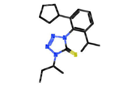 CCC(C)n1nnn(-c2c(C(C)C)cccc2C2CCCC2)c1=S